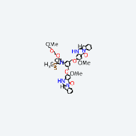 COCCOCCOCCN(C[C@H](C)S(C)=S)c1cc(COc2cc3c(cc2OC)C(=O)N2c4ccccc4C[C@H]2CN3)cc(COc2cc3c(cc2OC)C(=O)N2c4ccccc4C[C@H]2CN3)c1